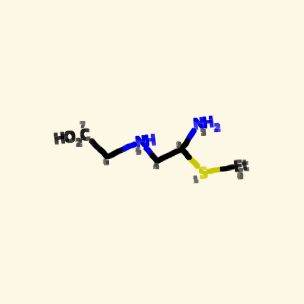 CCSC(N)CNCC(=O)O